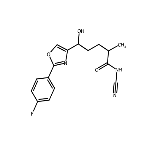 CC(CCC(O)c1coc(-c2ccc(F)cc2)n1)C(=O)NC#N